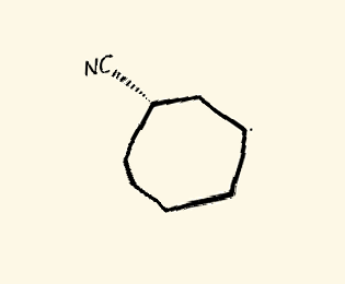 N#C[C@@H]1C[CH]CCC1